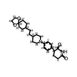 O=C1CCC(c2ccc(N3CCC(CCC4CCC5(CC4)OCCO5)CC3)cc2)C(=O)N1